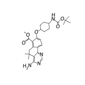 COC(=O)c1c(OC2CCC(NC(=O)OC(C)(C)C)CC2)ccc2c1CC(C)(C)c1c(N)ncnc1-2